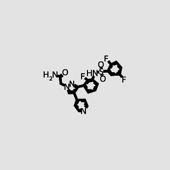 NC(=O)Cn1cc(-c2ccncc2)c(-c2cccc(NS(=O)(=O)c3cc(F)ccc3F)c2F)n1